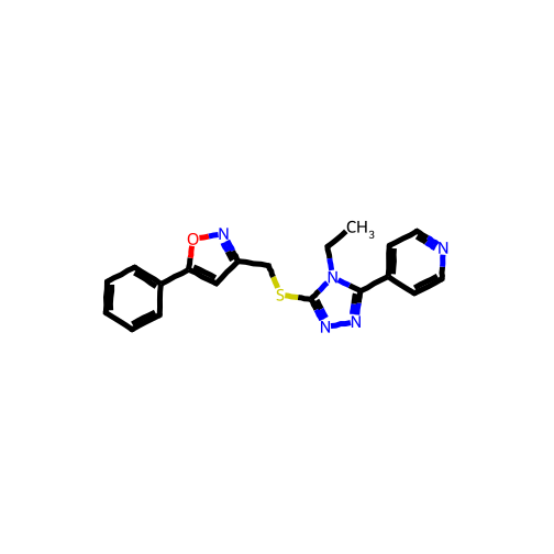 CCn1c(SCc2cc(-c3ccccc3)on2)nnc1-c1ccncc1